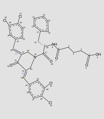 O=C(O)CCCC(=O)N[C@@H](Cc1ccccc1)C(=O)N1C/C(=C\c2ccc(Cl)c(Cl)c2)C(=O)/C(=C/c2ccc(Cl)c(Cl)c2)C1